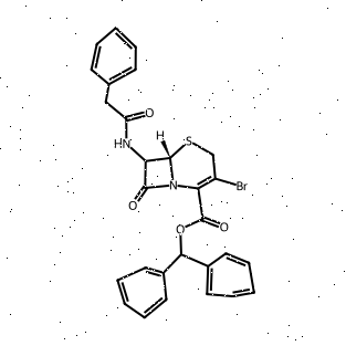 O=C(Cc1ccccc1)NC1C(=O)N2C(C(=O)OC(c3ccccc3)c3ccccc3)=C(Br)CS[C@@H]12